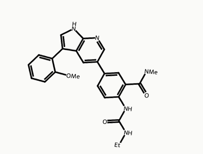 CCNC(=O)Nc1ccc(-c2cnc3[nH]cc(-c4ccccc4OC)c3c2)cc1C(=O)NC